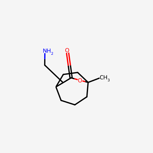 CC12CCCC(CC1)C(CN)C(=O)O2